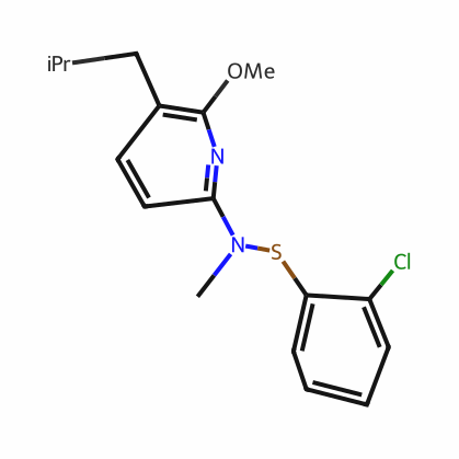 COc1nc(N(C)Sc2ccccc2Cl)ccc1CC(C)C